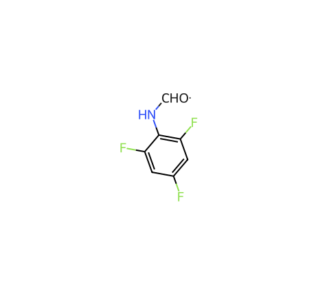 O=[C]Nc1c(F)cc(F)cc1F